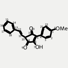 COc1ccc(C2=C(O)C(=O)C(C=Cc3ccccc3)C2=O)cc1